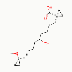 COC1(CCCCC(O)CCCCC2(C(=O)O)CC2)CC1